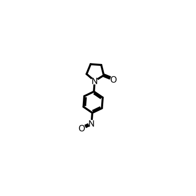 O=Nc1ccc(N2CCCC2=O)cc1